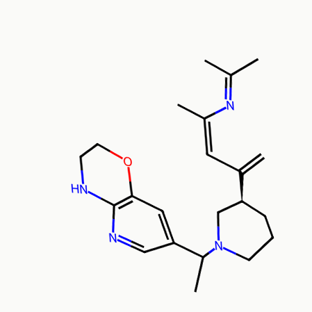 C=C(/C=C(/C)N=C(C)C)[C@H]1CCCN(C(C)c2cnc3c(c2)OCCN3)C1